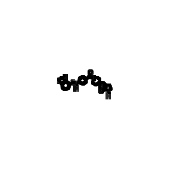 O=C1NCCC1CC1(O)CCN(C(=O)c2ccc(NSc3cccc4scnc34)cc2)CC1